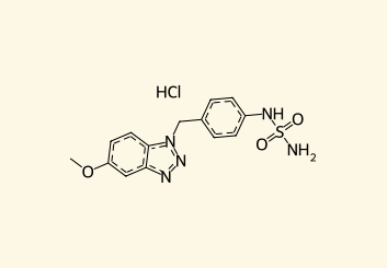 COc1ccc2c(c1)nnn2Cc1ccc(NS(N)(=O)=O)cc1.Cl